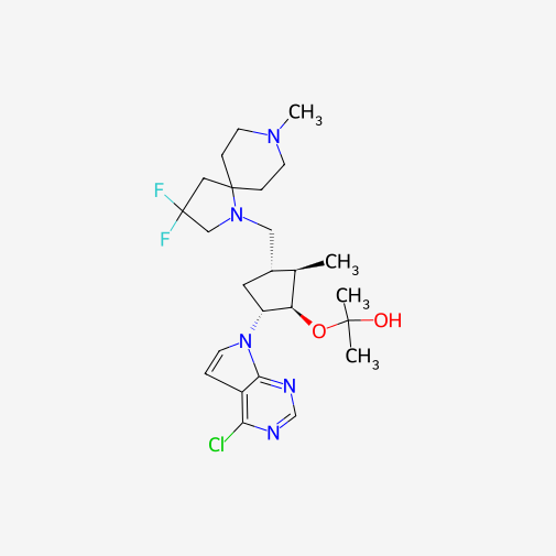 C[C@@H]1[C@@H](CN2CC(F)(F)CC23CCN(C)CC3)C[C@@H](n2ccc3c(Cl)ncnc32)[C@@H]1OC(C)(C)O